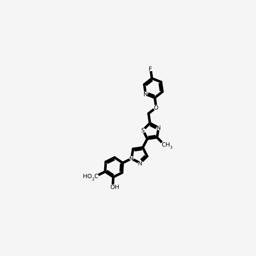 Cc1nc(COc2ccc(F)cn2)sc1-c1cnn(-c2ccc(C(=O)O)c(O)c2)c1